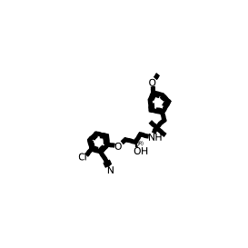 COc1ccc(CC(C)(C)NC[C@@H](O)COc2cccc(Cl)c2C#N)cc1